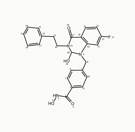 O=C(NO)c1ccc(CN2c3cc(F)ccc3C(=O)N(CCc3ccccc3)C2O)cc1